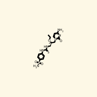 CCO[C@H](CNC(=S)Nc1ccc(S(N)(=O)=O)cc1)Cn1ccc(N)nc1=O